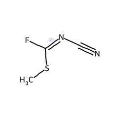 CS/C(F)=N\C#N